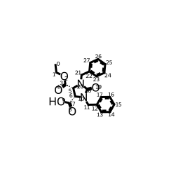 CCOC(=O)[C@H]1[C@@H](C(=O)O)N(Cc2ccccc2)C(=O)N1Cc1ccccc1